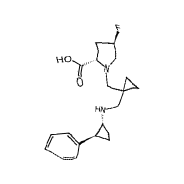 O=C(O)[C@@H]1C[C@@H](F)CN1CC1(CN[C@@H]2C[C@H]2c2ccccc2)CC1